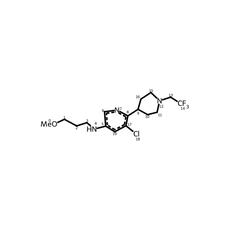 COCCCNc1cnc(C2CCN(CC(F)(F)F)CC2)c(Cl)c1